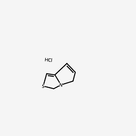 C1=CC2=CSCN2C1.Cl